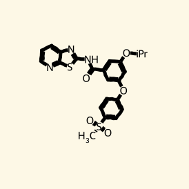 CC(C)Oc1cc(Oc2ccc(S(C)(=O)=O)cc2)cc(C(=O)Nc2nc3cccnc3s2)c1